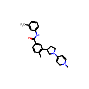 Cc1ccc(C(=O)Nc2cccc(C(F)(F)F)c2)cc1C1CCN(C2=CCN(C)C=C2)C1